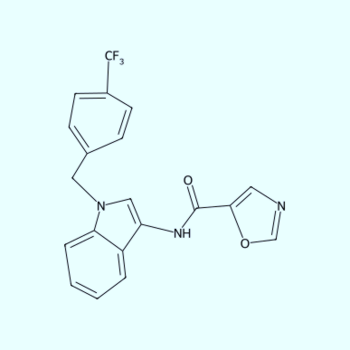 O=C(Nc1cn(Cc2ccc(C(F)(F)F)cc2)c2ccccc12)c1cnco1